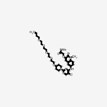 C=CCCOCCOCCOCCOCCOC1CCN(c2ncc(Cl)c(Nc3ccc4c(c3)cc(OCC(=O)NC)c(=O)n4C)n2)CC1